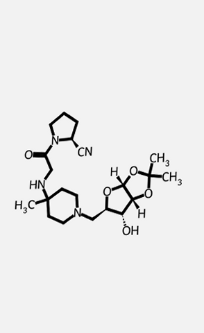 CC1(NCC(=O)N2CCC[C@H]2C#N)CCN(C[C@H]2O[C@@H]3OC(C)(C)O[C@@H]3[C@@H]2O)CC1